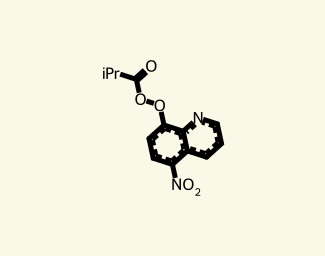 CC(C)C(=O)OOc1ccc([N+](=O)[O-])c2cccnc12